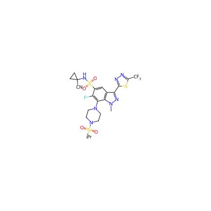 CC(C)S(=O)(=O)N1CCN(c2c(F)c(S(=O)(=O)NC3(C#N)CC3)cc3c(-c4nnc(C(F)(F)F)s4)nn(C)c23)CC1